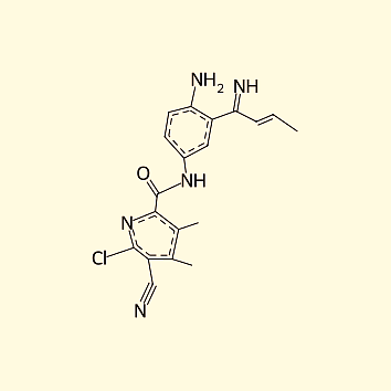 C/C=C/C(=N)c1cc(NC(=O)c2nc(Cl)c(C#N)c(C)c2C)ccc1N